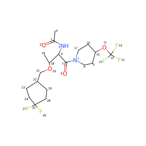 CC(=O)NC(C(=O)N1CCC(OC(F)(F)F)CC1)C(C)OCC1CCC(F)(F)CC1